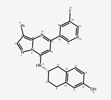 CC(C)c1cnn2c(N[C@H]3CCc4cc(O)ccc4C3)cc(-c3cncc(F)c3)nc12